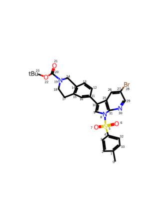 Cc1ccc(S(=O)(=O)n2cc(-c3ccc4c(c3)CCN(C(=O)OC(C)(C)C)C4)c3cc(Br)cnc32)cc1